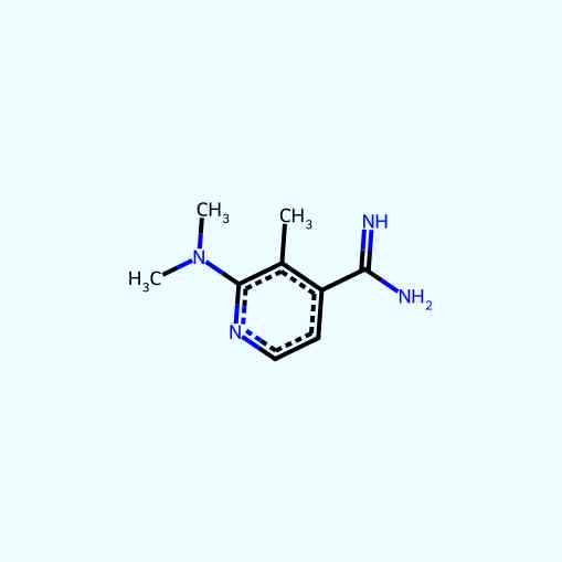 Cc1c(C(=N)N)ccnc1N(C)C